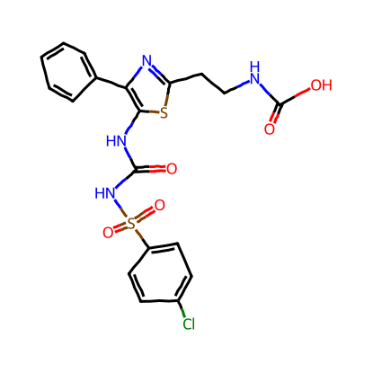 O=C(O)NCCc1nc(-c2ccccc2)c(NC(=O)NS(=O)(=O)c2ccc(Cl)cc2)s1